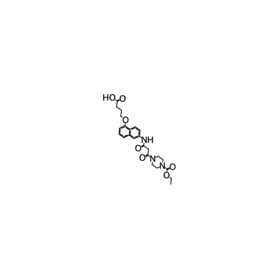 CCOC(=O)N1CCN(C(=O)CC(=O)Nc2ccc3c(OCCCC(=O)O)cccc3c2)CC1